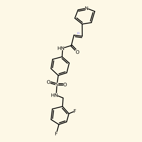 O=C(/C=C/c1ccncc1)Nc1ccc(S(=O)(=O)NCc2ccc(F)cc2F)cc1